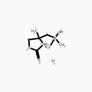 CCC[N+](C)(C)CC1(C)COC(=O)N1.[Cl-]